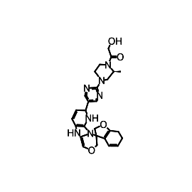 C[C@H]1CN(c2ncc(C3C=CC4=C(N3)N3C(=COCC35COC3=C5C=CCC3)N4)cn2)CCN1C(=O)CO